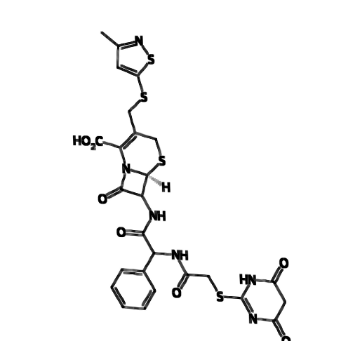 Cc1cc(SCC2=C(C(=O)O)N3C(=O)C(NC(=O)C(NC(=O)CSC4=NC(=O)CC(=O)N4)c4ccccc4)[C@@H]3SC2)sn1